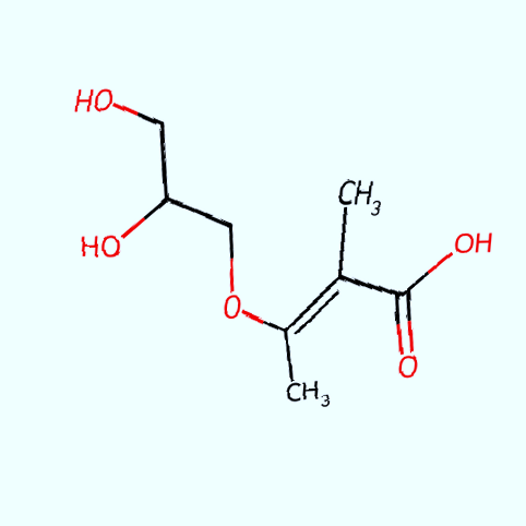 CC(OCC(O)CO)=C(C)C(=O)O